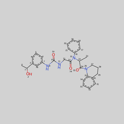 CC(O)c1cccc(NC(=O)NCC(=O)N(c2ccccc2)C(C)C(=O)N2CCCc3ccccc32)c1